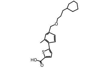 Cc1cc(COCCCC2CCCCC2)ccc1-c1ccc(C(=O)O)s1